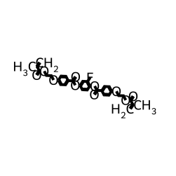 C=C(C)C(=O)OCCOc1ccc(C(=O)Oc2ccc(OC(=O)c3ccc(OCCOC(=O)C(=C)C)cc3)c(F)c2)cc1